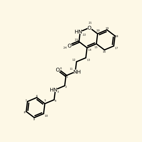 O=C(CNCc1ccccc1)NCCC1=C2CC=CC=C2ONC1=O